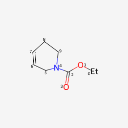 CCOC(=O)N1CC=[C]CC1